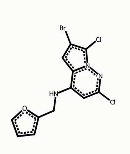 Clc1cc(NCc2ccco2)c2cc(Br)c(Cl)n2n1